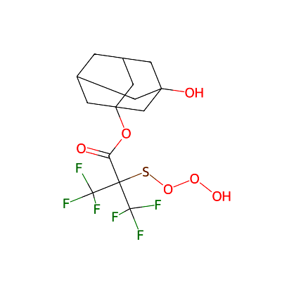 O=C(OC12CC3CC(CC(O)(C3)C1)C2)C(SOOO)(C(F)(F)F)C(F)(F)F